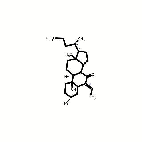 C/C=C1/C(=O)C2C3CC[C@H]([C@H](C)CCC(=O)O)C3(C)CC[C@@H]2C2(C)CC[C@@H](O)CC12